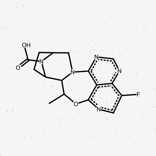 CC1Oc2ncc(F)c3ncnc(c23)N2CC3CCC(C12)N3C(=O)O